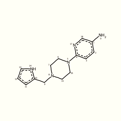 Nc1ccc(N2CCN(Cc3ccc[nH]3)CC2)nc1